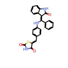 O=C1NC(=O)C(=Cc2ccc(NC(=C3C(=O)Nc4ccccc43)c3ccccc3)cc2)S1